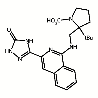 CC(C)(C)C1(CNc2nc(-c3n[nH]c(=O)[nH]3)cc3ccccc23)CCCN1C(=O)O